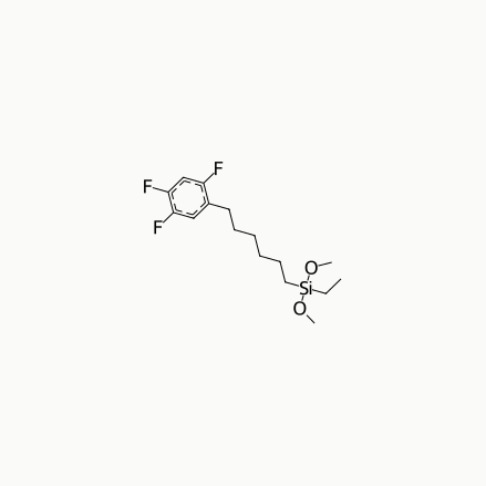 CC[Si](CCCCCCc1cc(F)c(F)cc1F)(OC)OC